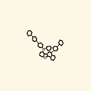 c1ccc(-c2ccc(-c3ccc(N(c4ccccc4)c4cccc5oc6c7ccccc7c(-c7ccc(-c8ccccc8)cc7)cc6c45)cc3)cc2)cc1